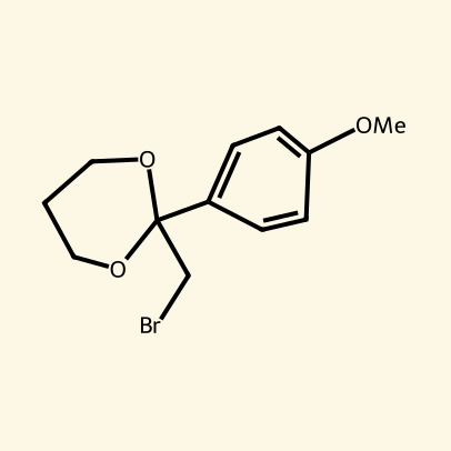 COc1ccc(C2(CBr)OCCCO2)cc1